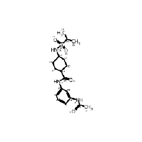 CC(=O)Nc1cccc(NC(=O)C2CCC(NS(=O)(=O)C(C)C)CC2)c1